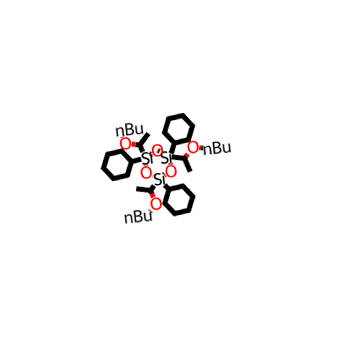 CCCCOC(C)[Si]1(C2CCCCC2)O[Si](C2CCCCC2)(C(C)OCCCC)O[Si](C2CCCCC2)(C(C)OCCCC)O1